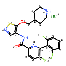 Cl.O=C(Nc1cnsc1OCC1CCNCC1)c1ccc(F)c(-c2c(F)cccc2F)n1